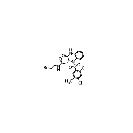 Cc1cc(S(=O)(=O)N2c3ccccc3NC(=O)[C@H]2CC(=O)NCCBr)c(C)cc1Cl